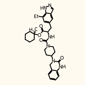 CCc1cc(CC(NC(=O)N2CCC(N3Cc4ccccc4NC3=O)CC2)C(=O)OC2(C)CCCCC2)cc2cn[nH]c12